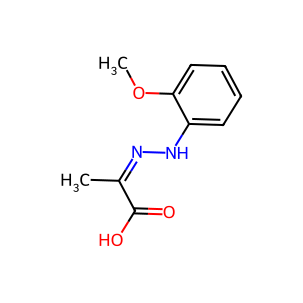 COc1ccccc1NN=C(C)C(=O)O